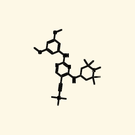 COc1cc(Nc2ncc(C#C[Si](C)(C)C)c(NC3CC(C)(C)N(C)C(C)(C)C3)n2)cc(OC)c1